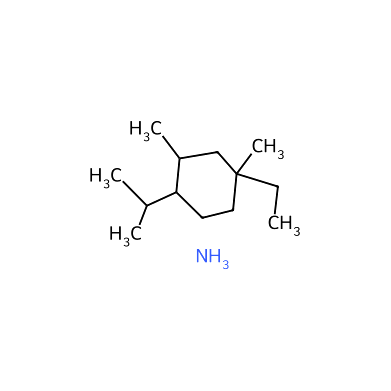 CCC1(C)CCC(C(C)C)C(C)C1.N